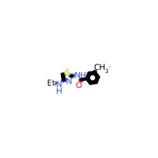 [CH2]c1cccc(C(=O)Nc2nc(NCC)cs2)c1